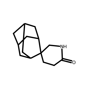 O=C1CCC2(CN1)C1CC3CC(C1)CC2C3